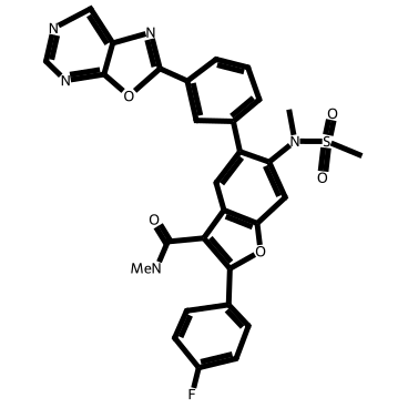 CNC(=O)c1c(-c2ccc(F)cc2)oc2cc(N(C)S(C)(=O)=O)c(-c3cccc(-c4nc5cncnc5o4)c3)cc12